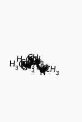 COc1cncc(CNCc2ccccc2C[C@H](C(=O)OC(C)(C)C)[C@H]2CCN(C(=O)OC(C)(C)C)C2)c1